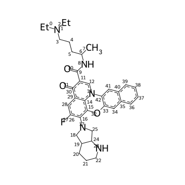 CCN(CC)CCCC(C)NC(=O)c1cn2c3c(c(N4CC5CCCNC5C4)c(F)cc3c1=O)Oc1cc3ccccc3cc1-2